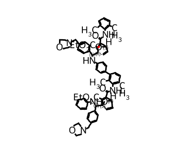 CCOC(=O)C1=C(C(=O)Nc2c(C)ccc(-c3ccc(N[C@@H](c4ccc(CN5CCOCC5)cc4)[C@]45C=C[C@H](O4)C(C(=O)Nc4c(C)cccc4C)=C5C(=O)OCC)cc3)c2C)[C@H]2C=C[C@]1([C@H](Nc1ccccc1)c1ccc(CN3CCOCC3)cc1)O2